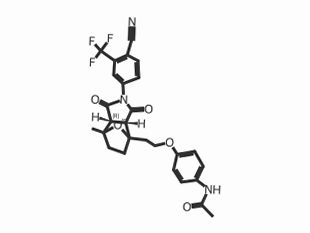 CC(=O)Nc1ccc(OCCC23CCC(C)(O2)[C@@H]2C(=O)N(c4ccc(C#N)c(C(F)(F)F)c4)C(=O)[C@@H]23)cc1